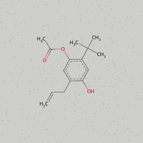 C=CCc1cc(OC(C)=O)c(C(C)(C)C)cc1O